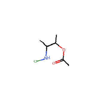 CC(=O)OC(C)C(C)NCl